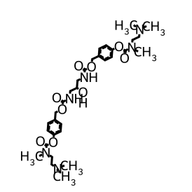 CN(C)CCN(C)C(=O)Oc1ccc(COC(=O)NCC(O)CNC(=O)OCc2ccc(OC(=O)N(C)CCN(C)C)cc2)cc1